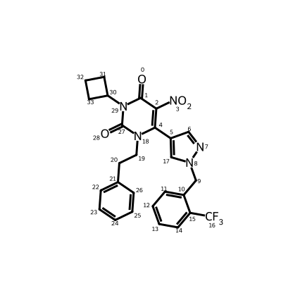 O=c1c([N+](=O)[O-])c(-c2cnn(Cc3ccccc3C(F)(F)F)c2)n(CCc2ccccc2)c(=O)n1C1CCC1